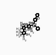 Bc1c(B)c(-c2c(B)c(B)c(B)c3c2sc2c(B)c(B)c(B)c(B)c23)c(B)c(B)c1-c1nc(-c2ccccc2)nc(-c2ccc3c(c2)oc2ccccc23)n1